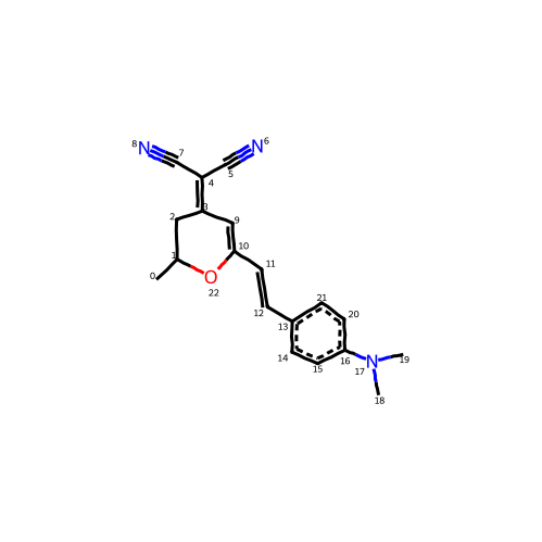 CC1CC(=C(C#N)C#N)C=C(C=Cc2ccc(N(C)C)cc2)O1